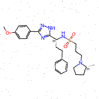 COc1ccc(-c2n[nH]c([C@@H](CCc3ccccc3)NS(=O)(=O)CCCN3CCC[C@H]3C)n2)cc1